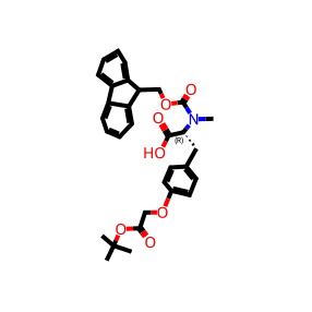 CN(C(=O)OCC1c2ccccc2-c2ccccc21)[C@H](Cc1ccc(OCC(=O)OC(C)(C)C)cc1)C(=O)O